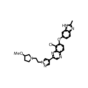 COC1CCN(CCn2cc(-c3cnc4ccc(Oc5ccc6nc(C)[nH]c6c5)c(Cl)c4n3)cn2)C1